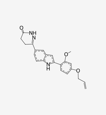 C=CCOc1ccc(-c2cc3cc(C4=NNC(=O)CC4)ccc3[nH]2)c(OC)c1